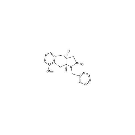 COc1cccc2c1C[C@@H]1[C@H](CC(=O)N1Cc1ccccc1)C2